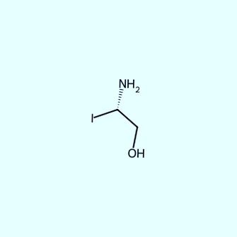 N[C@@H](I)CO